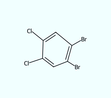 Clc1cc(Br)c(Br)cc1Cl